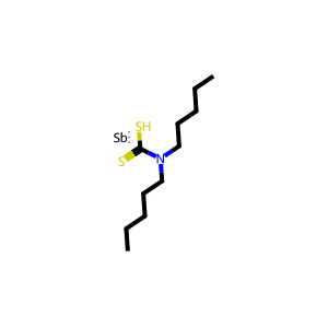 CCCCCN(CCCCC)C(=S)S.[Sb]